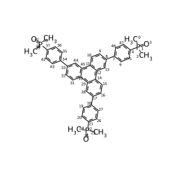 CP(C)(=O)c1ccc(-c2ccc3c(c2)c2ccc(-c4ccc(P(C)(C)=O)cc4)cc2c2ccc(-c4ccc(P(C)(C)=O)cc4)cc32)cc1